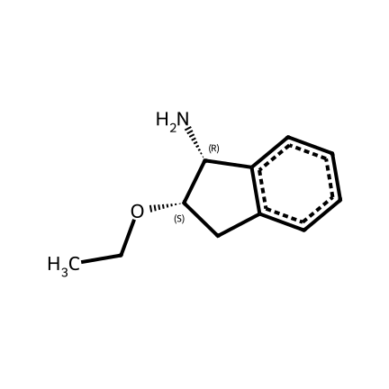 CCO[C@H]1Cc2ccccc2[C@H]1N